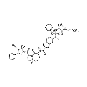 CCCOC(=O)[C@H](C)NP(=O)(Oc1ccccc1)[C@H](F)c1ccc2sc(C(=O)N[C@H]3CCC[C@H]4CC[C@@H](C(=O)N5C[C@@H](c6ccccc6)[C@H](C#N)C56CC6)N4C3=O)cc2c1